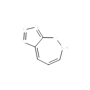 C1=CNOC2=NN=NC2=C1